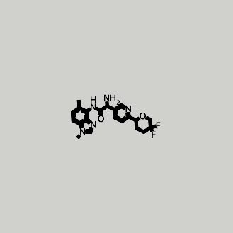 Cc1ccc2c(ncn2C)c1NC(=O)C(N)c1ccc(C2CCC(F)(F)CO2)nc1